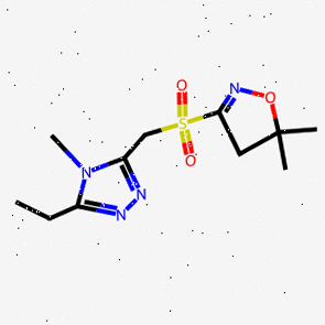 CCc1nnc(CS(=O)(=O)C2=NOC(C)(C)C2)n1C